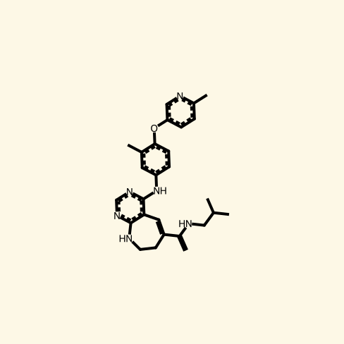 C=C(NCC(C)C)C1=Cc2c(ncnc2Nc2ccc(Oc3ccc(C)nc3)c(C)c2)NCC1